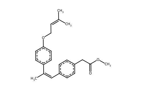 COC(=O)Cc1ccc(C=C(C)c2ccc(OCC=C(C)C)cc2)cc1